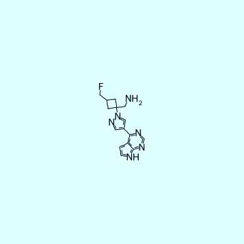 NCC1(n2cc(-c3ncnc4[nH]ccc34)cn2)CC(CF)C1